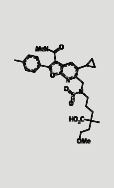 CNC(=O)c1c(-c2ccc(C)cc2)oc2nc(CN(CCCC(C)(CCOC)C(=O)O)[SH](=O)=O)c(C3CC3)cc12